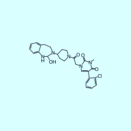 Cn1c(=O)c(-c2ccccc2Cl)cn(CC(=O)N2CCC(N3CCc4ccccc4NC3O)CC2)c1=O